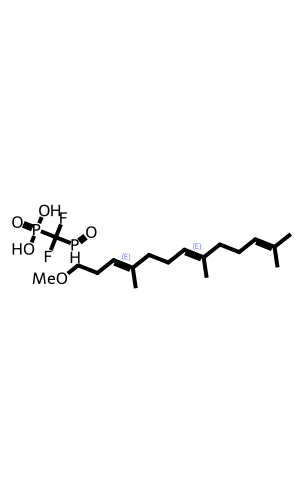 COC(C/C=C(\C)CC/C=C(\C)CCC=C(C)C)[PH](=O)C(F)(F)P(=O)(O)O